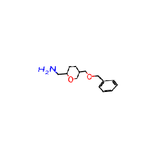 NCC1CCC(COCc2ccccc2)CO1